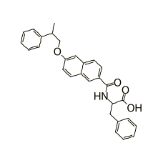 CC(COc1ccc2cc(C(=O)NC(Cc3ccccc3)C(=O)O)ccc2c1)c1ccccc1